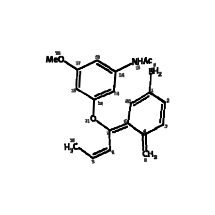 Bc1ccc(=C)/c(=C(\C=C/C)Oc2cc(NC(C)=O)cc(OC)c2)c1